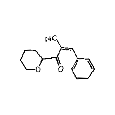 N#C/C(=C/c1ccccc1)C(=O)C1CCCCO1